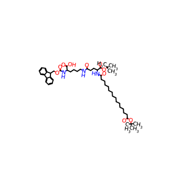 CC(C)(C)OC(=O)CCCCCCCCCCCCCCC(=O)NC(CCC(=O)NCCCCC(NC(=O)OCC1c2ccccc2-c2ccccc21)C(=O)O)C(=O)OC(C)(C)C